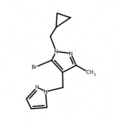 Cc1nn(CC2CC2)c(Br)c1Cn1cccn1